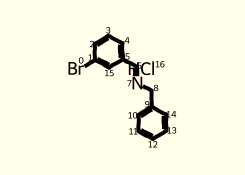 Brc1cccc(C=NCc2ccccc2)c1.Cl